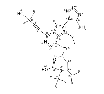 CCn1c(-c2nonc2N)nc2c(C#CC(C)(C)O)ncc(OCCC(C(C)C)N(C(=O)O)C(C)(C)C)c21